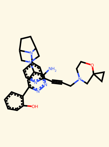 Nc1nnc(-c2ccccc2O)cc1N1CC2CCC(C1)N2c1ccnc(C#CCN2CCOC3(CC3)C2)c1